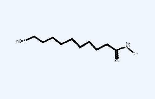 CCCCCCCCCCCCCCCCCC(=O)[NH2+][O-]